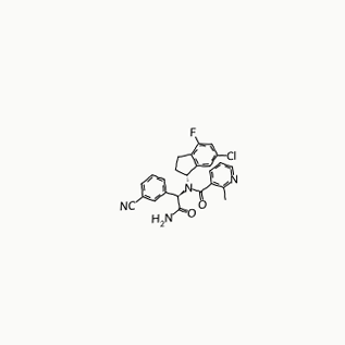 Cc1ncccc1C(=O)N([C@@H]1CCc2c(F)cc(Cl)cc21)[C@@H](C(N)=O)c1cccc(C#N)c1